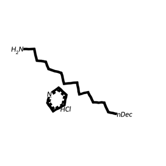 CCCCCCCCCCCCCCCCCCCCCCN.Cl.c1ccncc1